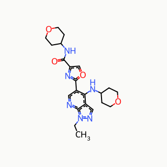 CCn1ncc2c(NC3CCOCC3)c(-c3nc(C(=O)NC4CCOCC4)co3)cnc21